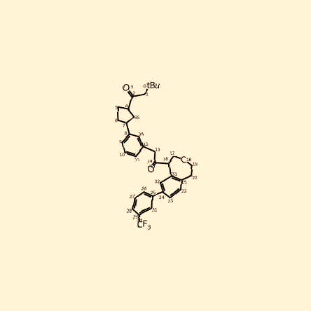 CC(C)(C)CC(=O)C1CCC(c2cccc(CC(=O)C3CCCCc4ccc(-c5cccc(C(F)(F)F)c5)cc43)c2)C1